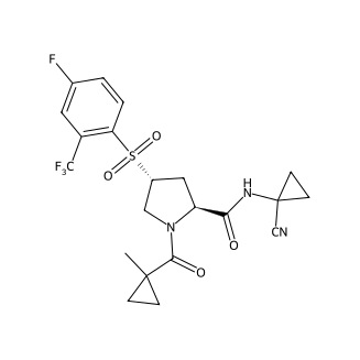 CC1(C(=O)N2C[C@H](S(=O)(=O)c3ccc(F)cc3C(F)(F)F)C[C@H]2C(=O)NC2(C#N)CC2)CC1